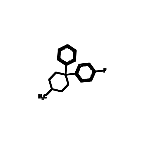 CC1CCC(c2ccccc2)(c2ccc(F)cc2)CC1